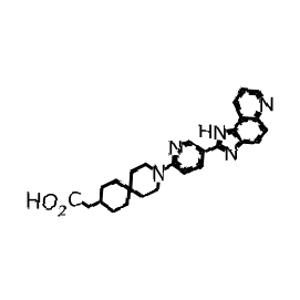 O=C(O)CC1CCC2(CC1)CCN(c1ccc(-c3nc4ccc5ncccc5c4[nH]3)cn1)CC2